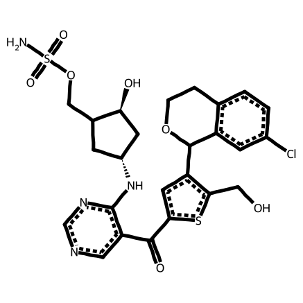 NS(=O)(=O)OCC1C[C@@H](Nc2ncncc2C(=O)c2cc(C3OCCc4ccc(Cl)cc43)c(CO)s2)C[C@@H]1O